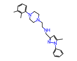 Cc1cccc(N2CCN(CCNCc3cc(C)n(-c4ccccc4)n3)CC2)c1C